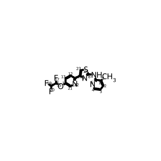 Cc1cccnc1Nc1nc(-c2ccc(OC(F)C(F)F)cn2)cs1